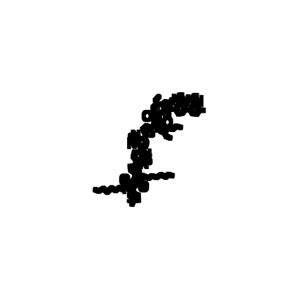 CCCCCCCCN1C(=O)C2=C(c3ccc(-c4ccc(-c5ccc(-c6ccc(C7=C8C(=O)N(CC(CC)CCCC)C(c9ccc(-c%10ccc(-c%11ccc(C)c%12nsnc%11%12)c%11nsnc%10%11)s9)=C8C(=O)N7CC(CC)CCCC)s6)c6nsnc56)c5nsnc45)s3)N(CCCCCCCC)C(=O)C2=C1c1ccc(C)s1